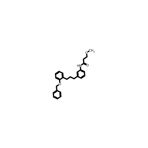 COCCC(=O)Nc1cccc(CCCc2ccccc2OCc2ccccc2)c1